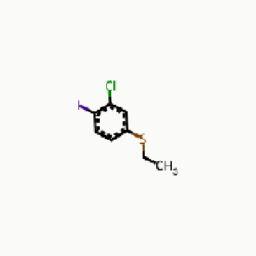 CCSc1ccc(I)c(Cl)c1